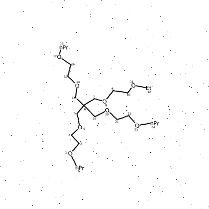 CCCOCCOCC(COCCOCC)(COCCOCCC)COCCOCCC